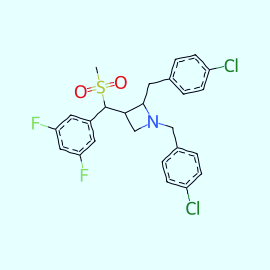 CS(=O)(=O)C(c1cc(F)cc(F)c1)C1CN(Cc2ccc(Cl)cc2)C1Cc1ccc(Cl)cc1